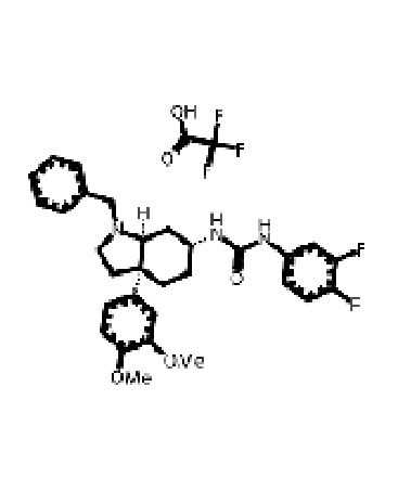 COc1ccc([C@@]23CC[C@@H](NC(=O)Nc4ccc(F)c(F)c4)C[C@@H]2N(Cc2ccccc2)CC3)cc1OC.O=C(O)C(F)(F)F